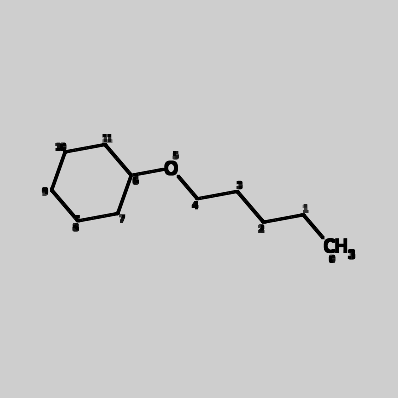 CCCCCOC1C[CH]CCC1